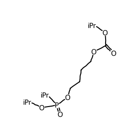 CC(C)OC(=O)OCCCCOP(=O)(OC(C)C)C(C)C